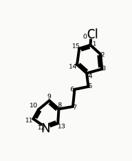 Clc1ccc(C[CH]Cc2cccnc2)cc1